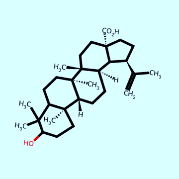 C=C(C)[C@@H]1CC[C@]2(C(=O)O)CC[C@]3(C)[C@H](CC[C@@H]4[C@@]5(C)CCC(O)C(C)(C)C5CC[C@]43C)C12